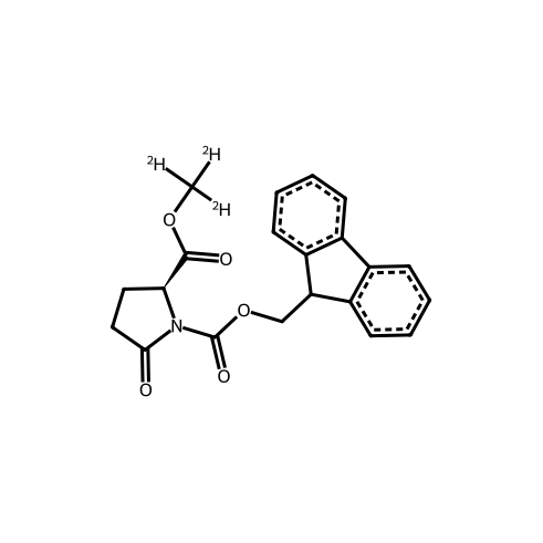 [2H]C([2H])([2H])OC(=O)[C@@H]1CCC(=O)N1C(=O)OCC1c2ccccc2-c2ccccc21